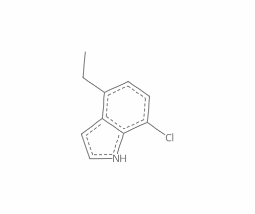 CCc1ccc(Cl)c2[nH]ccc12